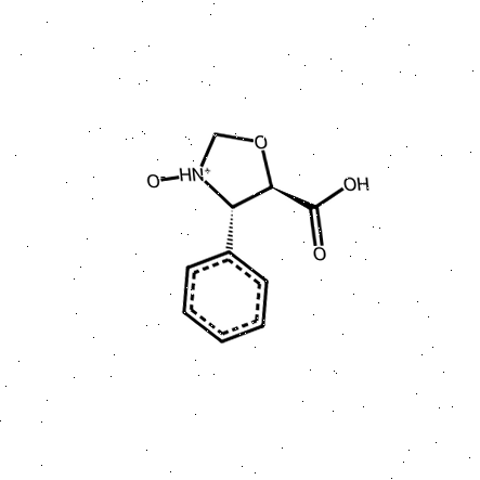 O=C(O)[C@@H]1OC[NH+]([O-])[C@H]1c1ccccc1